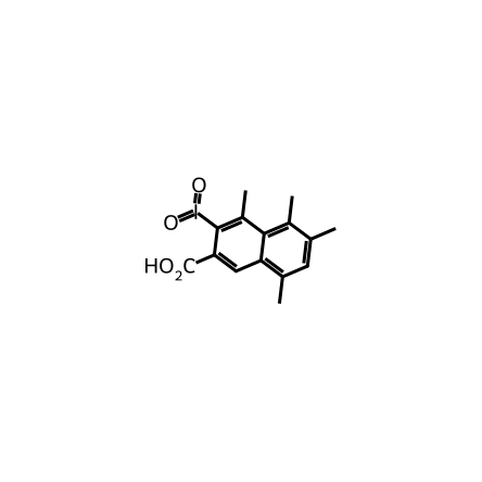 Cc1cc(C)c2cc(C(=O)O)c(I(=O)=O)c(C)c2c1C